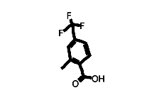 Cc1cc(C(F)(F)F)ccc1C(=O)O